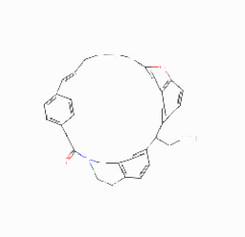 O=C(O)CC1c2ccc3c(c2)CN(CC3)C(=O)c2ccc(cc2)/C=C/CCCCc2cc3cc1ccc3o2